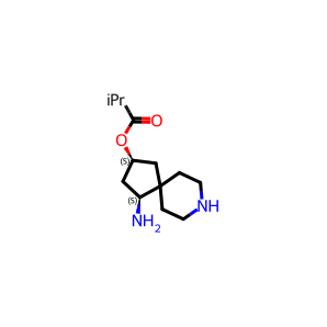 CC(C)C(=O)O[C@@H]1C[C@H](N)C2(CCNCC2)C1